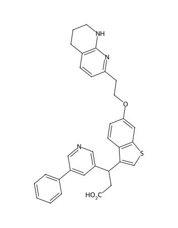 O=C(O)CC(c1cncc(-c2ccccc2)c1)c1csc2cc(OCCc3ccc4c(n3)NCCC4)ccc12